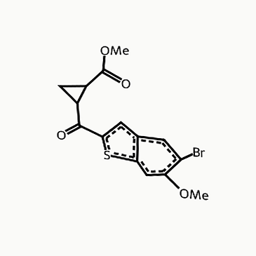 COC(=O)C1CC1C(=O)c1cc2cc(Br)c(OC)cc2s1